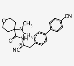 CN(C)C1(C(=O)N[C@H](C#N)Cc2ccc(-c3ccc(C#N)cc3)cc2)CCOCC1